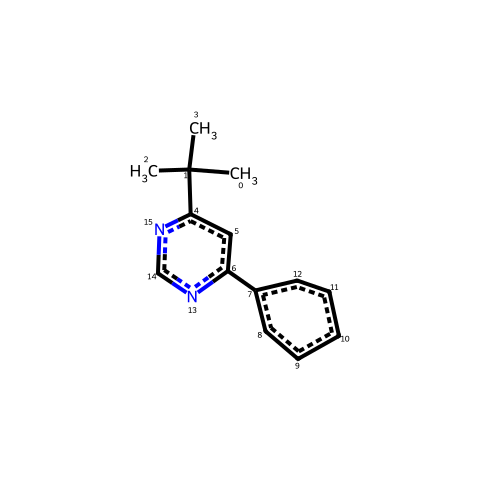 CC(C)(C)c1cc(-c2ccccc2)ncn1